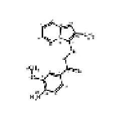 COc1cc(C(=O)COc2c(C)cc3cc[c]cn23)ccc1N